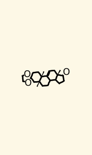 C[C@]12CCC3C(=CC[C@]4(C)C(=O)CCC34)[C@@]1(C)CCC1(C2)OCCO1